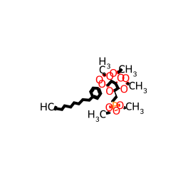 C#CCCCCCCCc1ccc(O[C@H]2O[C@H](CCP(=O)(OCC)OCC)[C@@H](OC(C)=O)[C@H](OC(C)=O)[C@@H]2OC(C)=O)cc1